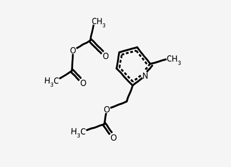 CC(=O)OC(C)=O.CC(=O)OCc1cccc(C)n1